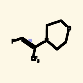 F/C=C(/N1CCOCC1)C(F)(F)F